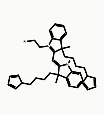 CC(C)CC[N+]1=C(/C=C2\N(C)c3ccccc3C2(C)CCCCC2C=CC=C2)C(C)(CCCCC2C=CC=C2)c2ccccc21